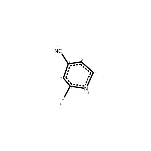 N#Cc1c[c]nc(F)c1